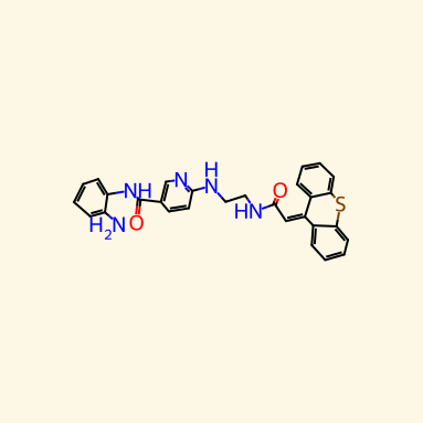 Nc1ccccc1NC(=O)c1ccc(NCCNC(=O)C=C2c3ccccc3Sc3ccccc32)nc1